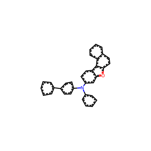 c1ccc(-c2ccc(N(c3ccccc3)c3ccc4c(c3)oc3ccc5ccccc5c34)cc2)cc1